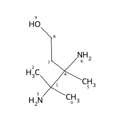 CC(C)(N)C(C)(N)CCO